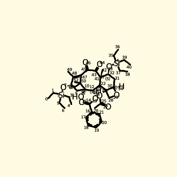 CC[Si](CC)(CC)O[C@H]1C[C@@]2(O)[C@@H](OC(=O)c3ccccc3)[C@@H]3[C@]4(OC(C)=O)CO[C@@H]4C[C@H](O[Si](CC)(CC)CC)[C@@]3(C)C(=O)C(=O)C(=C1C)C2(C)C